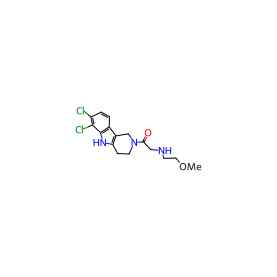 COCCNCC(=O)N1CCc2[nH]c3c(Cl)c(Cl)ccc3c2C1